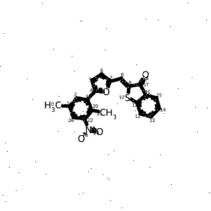 Cc1cc(-c2ccc(C=C3Sc4ccccc4C3=O)o2)c(C)c([N+](=O)[O-])c1